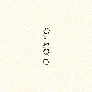 Cc1c(OC2CCN(C)CC2)ccc2cc(NC(=O)Nc3ccc(Cl)cc3)c(=O)oc12